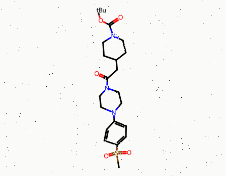 CC(C)(C)OC(=O)N1CCC(CC(=O)N2CCN(c3ccc(S(C)(=O)=O)cc3)CC2)CC1